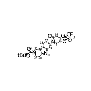 CN1c2cc(-n3ccc(OS(=O)(=O)C(F)(F)F)cc3=O)ccc2C2CN(C(=O)OC(C)(C)C)CCC21